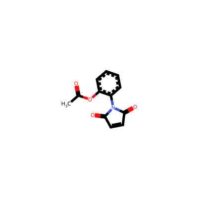 CC(=O)Oc1ccccc1N1C(=O)C=CC1=O